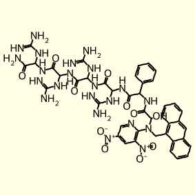 N=C(N)NC(NC(=O)C(NC(=N)N)NC(=O)C(NC(=N)N)NC(=O)C(NC(=N)N)NC(=O)C(NC(=O)C(O)N(Cc1c2ccccc2cc2ccccc12)c1ncc([N+](=O)[O-])cc1[N+](=O)[O-])c1ccccc1)C(N)=O